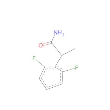 CC(C(N)=O)c1c(F)cccc1F